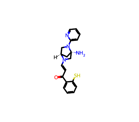 N[C@]12C[C@H](CN1c1ccccn1)N(/C=C/C(=O)c1ccccc1S)C2